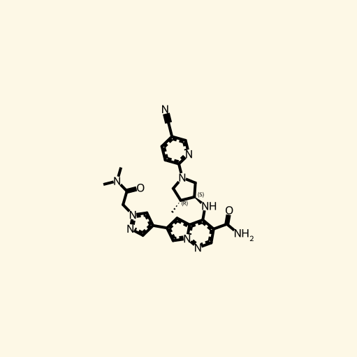 C[C@@H]1CN(c2ccc(C#N)cn2)C[C@H]1Nc1c(C(N)=O)cnn2cc(-c3cnn(CC(=O)N(C)C)c3)cc12